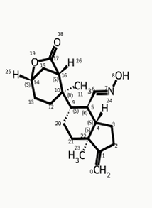 C=C1CC[C@H]2[C@H](C=NO)[C@@H]([C@@]3(C)CC[C@H]4C[C@@H]3C(=O)O4)CC[C@]12C